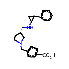 O=C(O)c1ccc(CN2CC[C@H](CNC3CC3c3ccccc3)C2)cc1